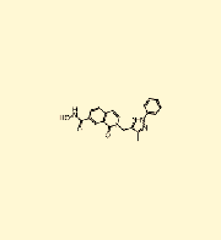 Cc1nn(-c2ccccc2)nc1Cn1ccc2ccc(C(=O)NO)cc2c1=O